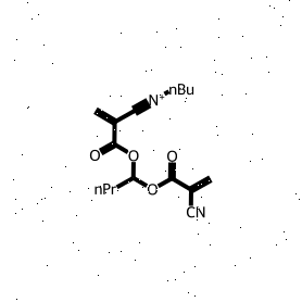 C=C(C#N)C(=O)OC(CCC)OC(=O)C(=C)C#[N+]CCCC